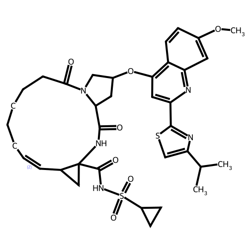 COc1ccc2c(OC3CC4C(=O)NC5(C(=O)NS(=O)(=O)C6CC6)CC5/C=C\CCCCCC(=O)N4C3)cc(-c3nc(C(C)C)cs3)nc2c1